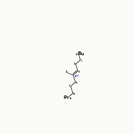 CCC(C)CC/C=C(\C)CCCC(C)C